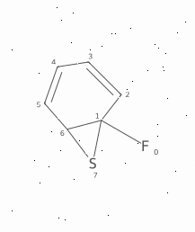 FC12C=CC=CC1S2